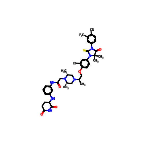 CCc1cc(N2C(=S)N(c3ccc(C#N)c(C(F)(F)F)c3)C(=O)C2(C)C)ccc1OC[C@@H](C)N1C[C@@H](C)N(CC(=O)Nc2cccc(NC3CCC(=O)NC3=O)c2)[C@@H](C)C1